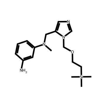 CN(Cc1cncn1COCC[Si](C)(C)C)c1cccc(N)c1